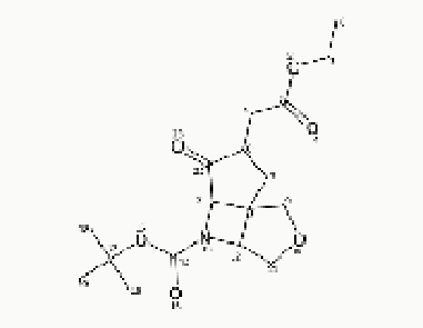 CCOC(=O)CC1CC23COCC2N(C(=O)OC(C)(C)C)C3C1=O